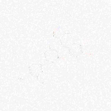 COc1ccc(C2CC(=O)C3=C(C2)Nc2onc(C)c2C3c2ccc(O)c(O)c2)cc1OC